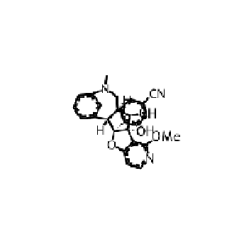 COc1nccc2c1[C@]1(O)[C@H](O)[C@@H]3CN(C)c4cccc(c4)[C@H]3[C@]1(c1ccc(C#N)cc1)O2